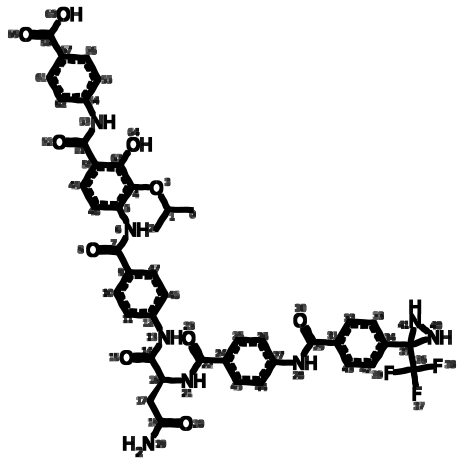 CC(C)Oc1c(NC(=O)c2ccc(NC(=O)[C@H](CC(N)=O)NC(=O)c3ccc(NC(=O)c4ccc(C5(C(F)(F)F)NN5)cc4)cc3)cc2)ccc(C(=O)Nc2ccc(C(=O)O)cc2)c1O